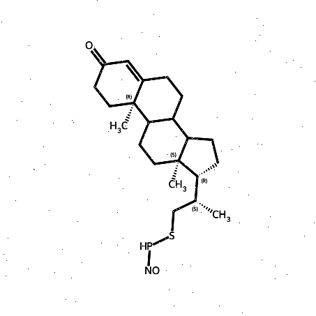 C[C@H](CSPN=O)[C@H]1CCC2C3CCC4=CC(=O)CC[C@]4(C)C3CC[C@@]21C